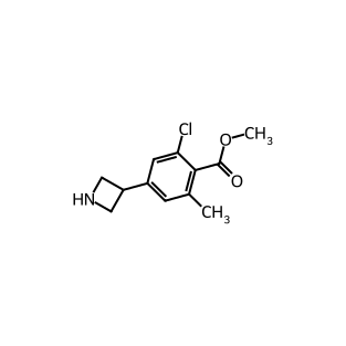 COC(=O)c1c(C)cc(C2CNC2)cc1Cl